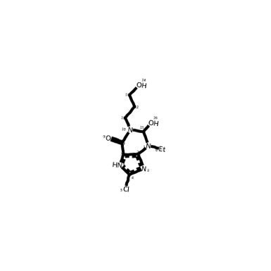 CCN1c2nc(Cl)[nH]c2C(=O)N(CCCO)C1O